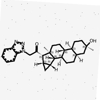 C[C@@]1(O)CC[C@H]2[C@H](CC[C@@H]3[C@@H]2CC[C@@]2(C)[C@H]3[C@@H]3C[C@@H]3[C@@H]2C(=O)Cn2nnc3ccccc32)C1